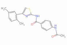 CC(=O)Nc1ccc(C(=O)Nc2nc(-c3cc(C)ccc3C)cs2)cc1